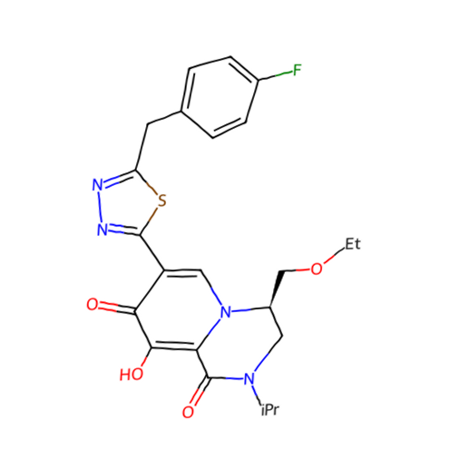 CCOC[C@H]1CN(C(C)C)C(=O)c2c(O)c(=O)c(-c3nnc(Cc4ccc(F)cc4)s3)cn21